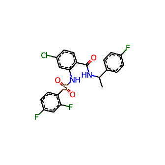 CC(NC(=O)c1ccc(Cl)cc1NS(=O)(=O)c1ccc(F)cc1F)c1ccc(F)cc1